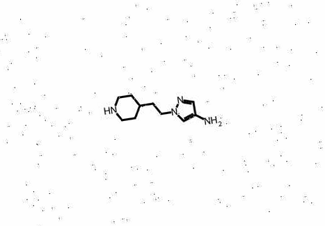 Nc1cnn(CCC2CCNCC2)c1